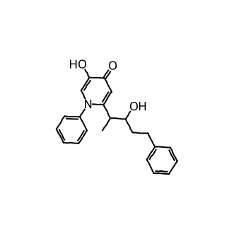 CC(c1cc(=O)c(O)cn1-c1ccccc1)C(O)CCc1ccccc1